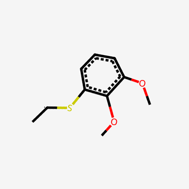 C[CH]Sc1cccc(OC)c1OC